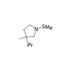 CSN1CCC(C)(C(C)C)C1